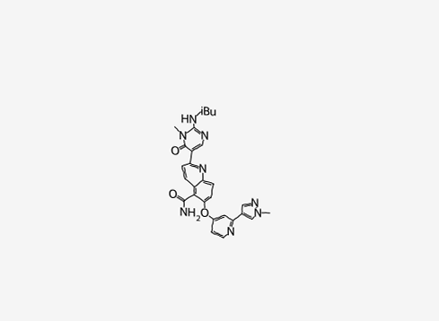 CCC(C)Nc1ncc(-c2ccc3c(C(N)=O)c(Oc4ccnc(-c5cnn(C)c5)c4)ccc3n2)c(=O)n1C